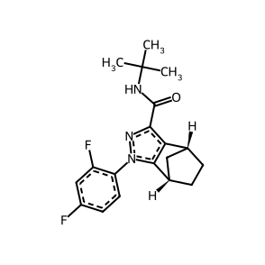 CC(C)(C)NC(=O)c1nn(-c2ccc(F)cc2F)c2c1[C@@H]1CC[C@H]2C1